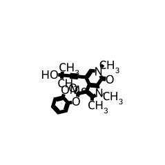 COc1ccccc1OC(=O)c1c(C)n(C)c2c(=O)n(C)cc(C#CC(C)(C)O)c12